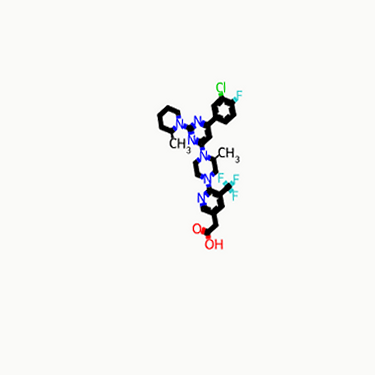 C[C@@H]1CN(c2ncc(CC(=O)O)cc2C(F)(F)F)CCN1c1cc(-c2ccc(F)c(Cl)c2)nc(N2CCCC[C@@H]2C)n1